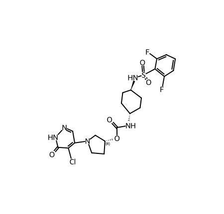 O=C(N[C@H]1CC[C@H](NS(=O)(=O)c2c(F)cccc2F)CC1)O[C@@H]1CCN(c2cn[nH]c(=O)c2Cl)C1